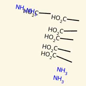 CC(=O)O.CC(=O)O.CC(=O)O.CC(=O)O.CC(=O)O.CC(=O)O.N.N.N.N